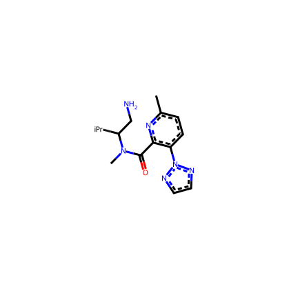 Cc1ccc(-n2nccn2)c(C(=O)N(C)C(CN)C(C)C)n1